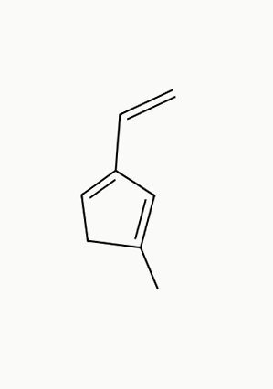 C=CC1=CCC(C)=C1